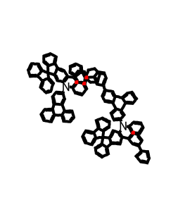 c1ccc(-c2cccc(-c3cc4c(cc3N(c3ccccc3)c3ccc5c6ccc(-c7cccc(-c8ccc(-c9cc%10c(cc9N(c9ccc%11c%12ccccc%12c%12ccccc%12c%11c9)c9cccc%11c9-c9ccccc9C%119CCCCC9)C9(c%11ccccc%11-c%11ccccc%119)c9ccccc9-%10)cc8)c7)cc6c6ccccc6c5c3)C3(c5ccccc5-c5ccccc53)c3ccccc3-4)c2)cc1